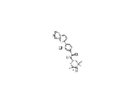 CC1(C)CC(NC(=O)c2ccc(-c3ccc4ccncc4c3)c(Cl)c2)CC(C)(C)N1